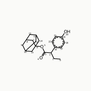 CCC(C(=O)OC12CC3CC(CC(C3)C1)C2)c1ccc(O)cc1